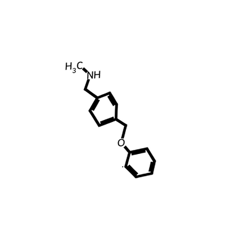 CNCc1ccc(COc2[c]cccc2)cc1